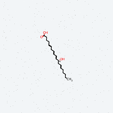 CCCCCC=CC[C@@H](O)C=CC=CCC=CCCCC(=O)O